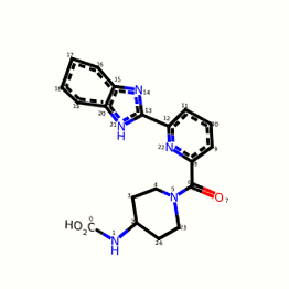 O=C(O)NC1CCN(C(=O)c2cccc(-c3nc4ccccc4[nH]3)n2)CC1